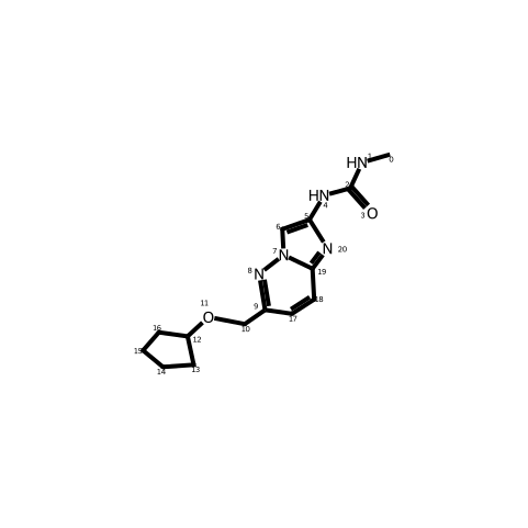 CNC(=O)Nc1cn2nc(COC3CCCC3)ccc2n1